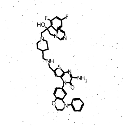 Nc1nc2sc(CNCC3CCN(C[C@@](O)(Cn4cncn4)c4ccc(F)cc4F)CC3)cc2n(-c2ccc3c(c2)N(c2ccccc2)CCO3)c1=O